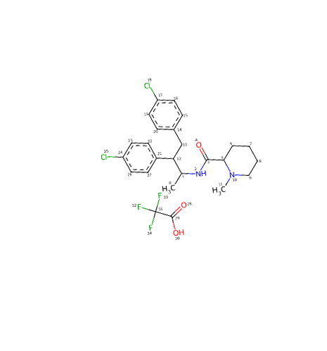 CC(NC(=O)C1CCCCN1C)C(Cc1ccc(Cl)cc1)c1ccc(Cl)cc1.O=C(O)C(F)(F)F